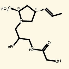 CC=C[C@H]1C[C@H](C(=O)O)N(CC(CCC)CNC(=O)CO)C1